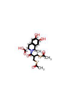 CC(=O)SCC(CSC(C)=O)C(=O)N1[C@H](C)c2cc(O)c(O)cc2C[C@H]1C(=O)O